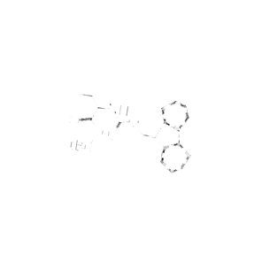 CC(C)(C)OC(=O)C(CI)NC(=O)OCC1c2ccccc2-c2ccccc21